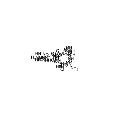 CC(O)C1NC(=O)C(CCCCN)NC(=O)C(Cc2c[nH]c3ccccc23)NC(=O)C(Cc2ccc(O)cc2)NC(=O)[C@@H](NC(=O)C(Cc2ccccc2)NC(=O)CCCC(=O)NC23CNCCNCC(N)(CNCCNC2)NCCN3)CSSCC(C(=O)N[C@H](C(=O)O)C(C)O)NC1=O